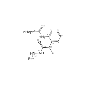 CCCCCCCC(=O)Nc1ccccc1C(C)C(=O)NNCC